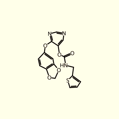 O=C(NCc1cccs1)Oc1cncnc1Oc1ccc2c(c1)OCO2